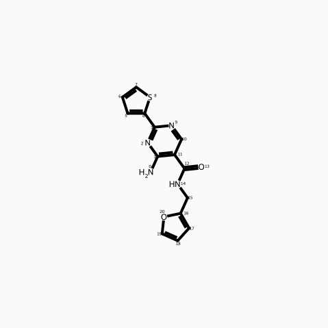 Nc1nc(-c2cccs2)ncc1C(=O)NCc1ccco1